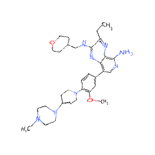 CCc1nc2c(N)ncc(-c3ccc(N4CCC(N5CCN(C)CC5)CC4)c(OC)c3)c2nc1NCC1CCOCC1